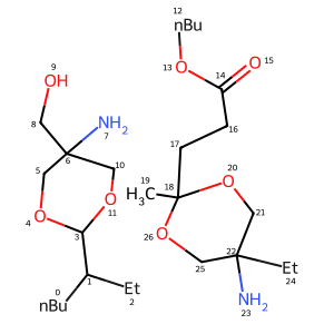 CCCCC(CC)C1OCC(N)(CO)CO1.CCCCOC(=O)CCC1(C)OCC(N)(CC)CO1